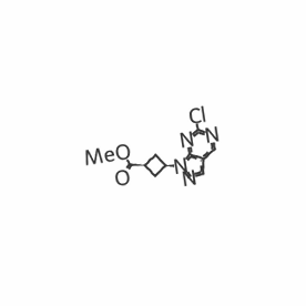 COC(=O)[C@H]1C[C@@H](n2ncc3cnc(Cl)nc32)C1